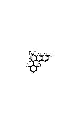 O=C1CCCC(=O)C1C(=O)c1cc2ccc(Cl)nc2nc1C(F)(F)F